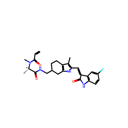 C=CC(=O)N(C)[C@@H](C)C(=O)NCC1CCc2c([nH]c(C=C3C(=O)Nc4ccc(F)cc43)c2C)C1